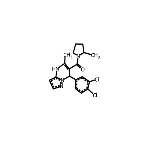 CC1=C(C(=O)N2CCCC2C)C(c2ccc(Cl)c(Cl)c2)n2nccc2N1